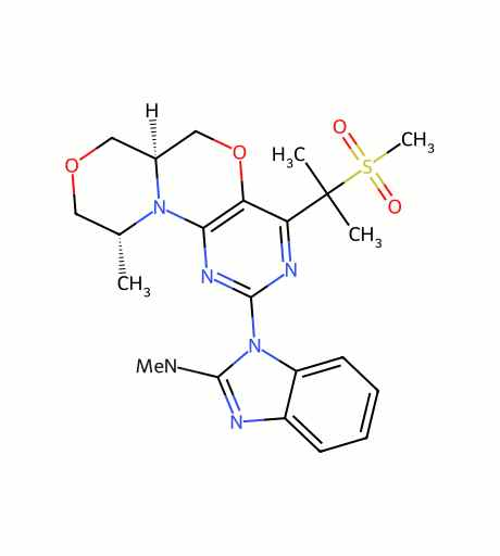 CNc1nc2ccccc2n1-c1nc2c(c(C(C)(C)S(C)(=O)=O)n1)OC[C@@H]1COC[C@@H](C)N21